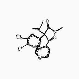 CC(C)C1(c2ccc(Cl)c(Cl)c2)C(=O)N(C)N=C1c1ccncc1